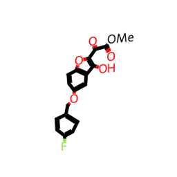 COC(=O)C(=O)c1oc2ccc(OCc3ccc(F)cc3)cc2c1O